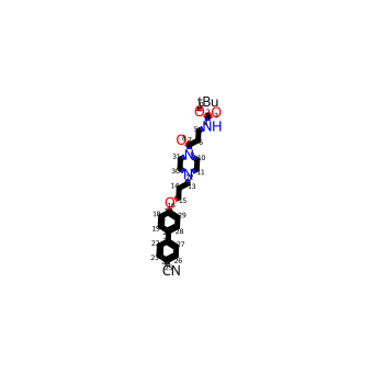 CC(C)(C)OC(=O)NCCC(=O)N1CCN(CCCOc2ccc(-c3ccc(C#N)cc3)cc2)CC1